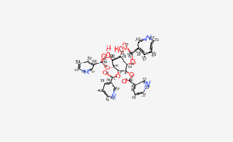 O=C(O[C@@H]1[C@H](OC(=O)c2cccnc2)[C@H](OC(=O)c2cccnc2)[C@@H](O)[C@H](O)[C@H]1OC(=O)c1cccnc1)c1cccnc1